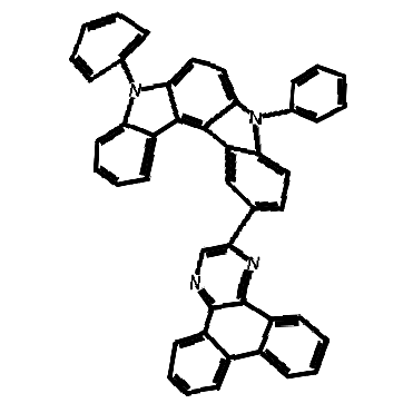 c1ccc(-n2c3ccccc3c3c4c5cc(-c6cnc7c8ccccc8c8ccccc8c7n6)ccc5n(-c5ccccc5)c4ccc32)cc1